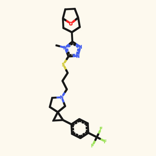 Cn1c(SCCCN2CCC3(CC3c3ccc(C(F)(F)F)cc3)C2)nnc1C1CC2CCC(C1)O2